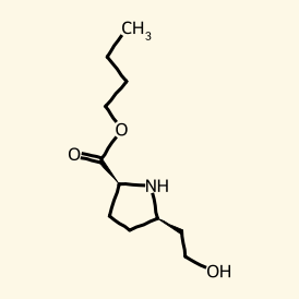 CCCCOC(=O)[C@@H]1CC[C@H](CCO)N1